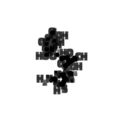 C#CC1(O)[C@@H](O)[C@@H](COP(=O)(O)OP(=O)(O)OP(=O)(O)O)O[C@H]1n1cnc2c(=S)[nH]c(N)nc21